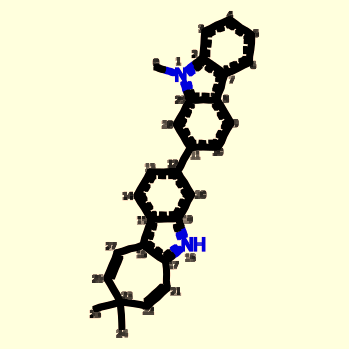 Cn1c2ccccc2c2ccc(-c3ccc4c5c([nH]c4c3)C=CC(C)(C)C=C5)cc21